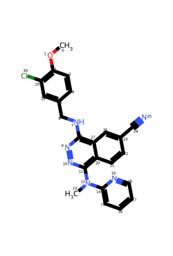 COc1ccc(CNc2nnc(N(C)c3ccccn3)c3ccc(C#N)cc23)cc1Cl